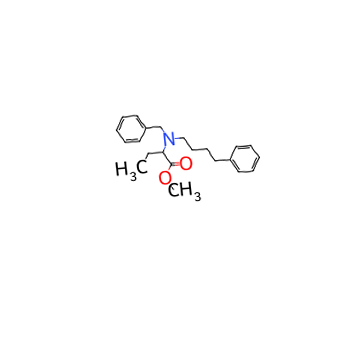 CCC(C(=O)OC)N(CCCCc1ccccc1)Cc1ccccc1